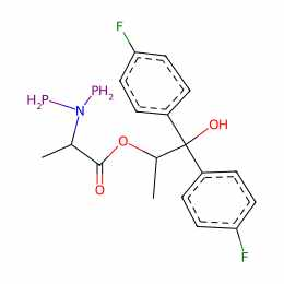 CC(C(=O)OC(C)C(O)(c1ccc(F)cc1)c1ccc(F)cc1)N(P)P